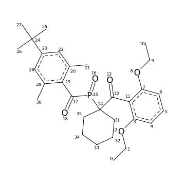 CCOc1cccc(OCC)c1C(=O)C1([P](=O)C(=O)c2c(C)cc(C(C)(C)C)cc2C)CCCCC1